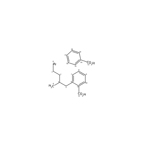 CC(C)CCC(C)Cc1ccccc1C(=O)O.O=C(O)c1ccccc1